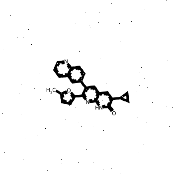 Cc1ccc(-c2nc3[nH]c(=O)c(C4CC4)cc3cc2-c2ccc3ncccc3c2)o1